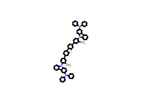 Cc1cc(-c2ccc3c(c2)sc2cc(-c4ccc(-n5c6ccccc6c6cc(N(c7ccccc7)c7ccccc7)ccc65)c(C)c4)ccc23)ccc1-n1c2ccccc2c2cc(N(c3ccccc3)c3ccccc3)ccc21